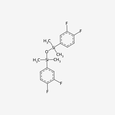 C[Si](C)(O[Si](C)(C)c1ccc(F)c(F)c1)c1ccc(F)c(F)c1